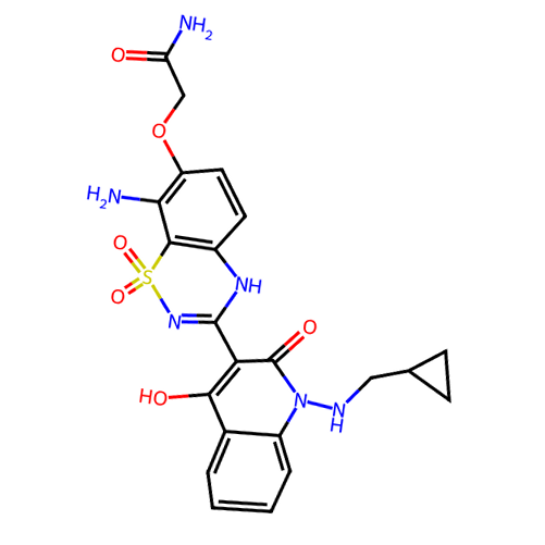 NC(=O)COc1ccc2c(c1N)S(=O)(=O)N=C(c1c(O)c3ccccc3n(NCC3CC3)c1=O)N2